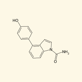 NC(=O)n1ccc2c(-c3ccc(O)cc3)cccc21